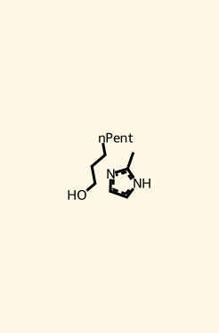 CCCCCCCCO.Cc1ncc[nH]1